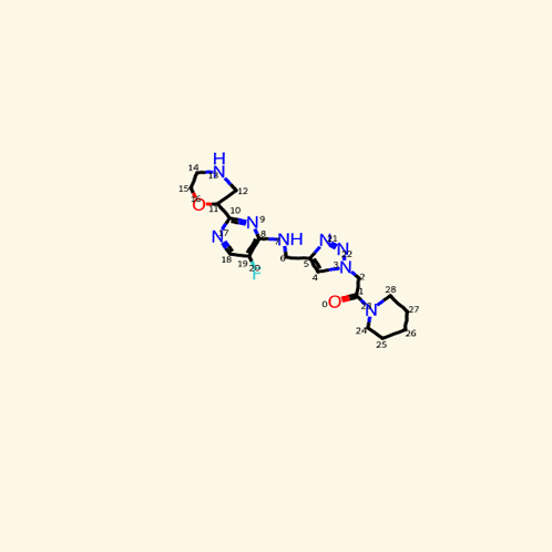 O=C(Cn1cc(CNc2nc(C3CNCCO3)ncc2F)nn1)N1CCCCC1